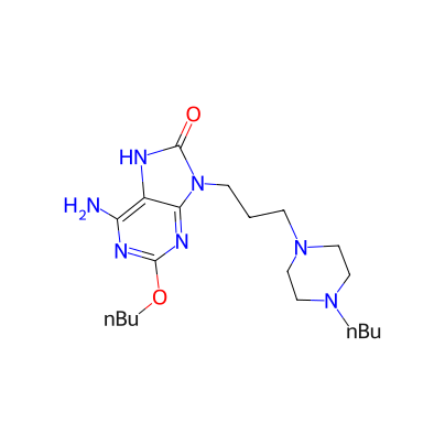 CCCCOc1nc(N)c2[nH]c(=O)n(CCCN3CCN(CCCC)CC3)c2n1